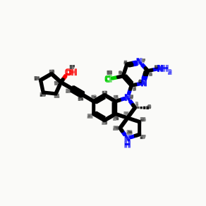 C[C@H]1N(c2nc(N)ncc2Cl)c2cc(C#CC3(O)CCCC3)ccc2C12CCNC2